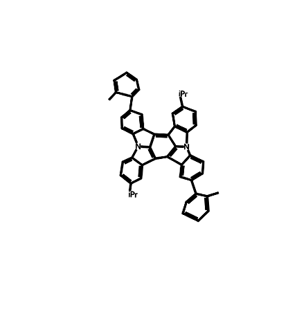 Cc1ccccc1-c1ccc2c(c1)c1c3c4cc(C(C)C)ccc4n4c5ccc(-c6ccccc6C)cc5c(c5c6cc(C(C)C)ccc6n2c15)c34